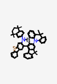 CC1(C)CCC(C)(C)c2cc(N3B4c5cccc6c5N(c5ccccc5C6(C)C)c5cc6c(c(c54)-c4cc5c(cc43)sc3ccccc35)-c3ccccc3C6(C)C)ccc21